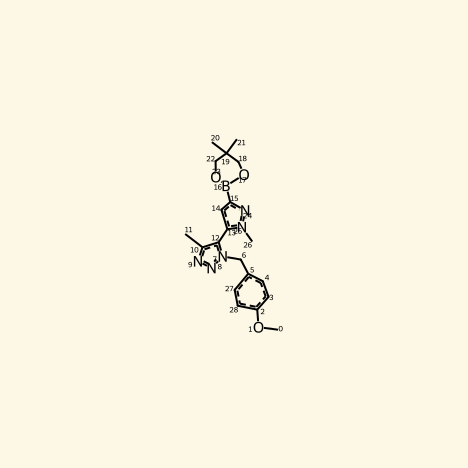 COc1ccc(Cn2nnc(C)c2-c2cc(B3OCC(C)(C)CO3)nn2C)cc1